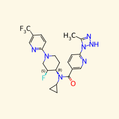 Cc1n[nH]n1-c1ccc(C(=O)N(C2CC2)[C@@H]2CCN(c3ccc(C(F)(F)F)cn3)C[C@@H]2F)cn1